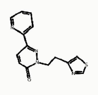 O=c1ccc(-c2ccccn2)nn1CCc1cscn1